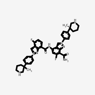 CC1(c2ccc(-n3cc4c(F)ccc(C(=O)Nc5cc(F)c(C(N)=O)c6nn(-c7ccc([C@]8(C)CCCNC8)cc7)cc56)c4n3)cc2)CCCNC1